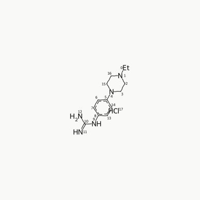 CCN1CCN(c2ccc(NC(=N)N)cc2)CC1.Cl